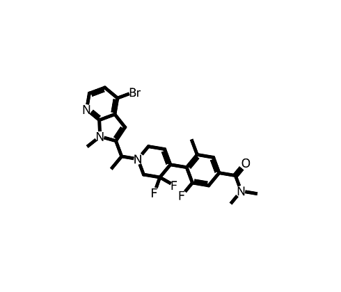 Cc1cc(C(=O)N(C)C)cc(F)c1C1=CCN(C(C)c2cc3c(Br)ccnc3n2C)CC1(F)F